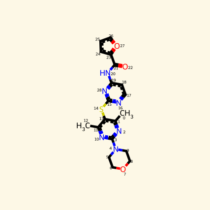 Cc1nc(N2CCOCC2)nc(C)c1Sc1nccc(NC(=O)c2ccco2)n1